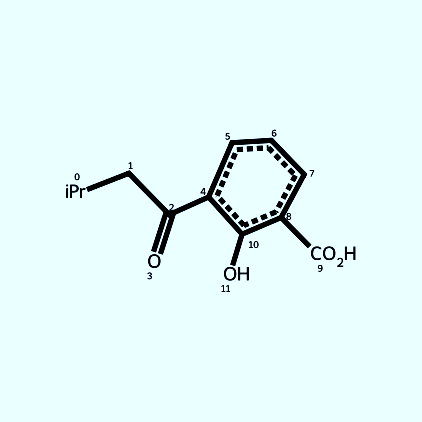 CC(C)CC(=O)c1cccc(C(=O)O)c1O